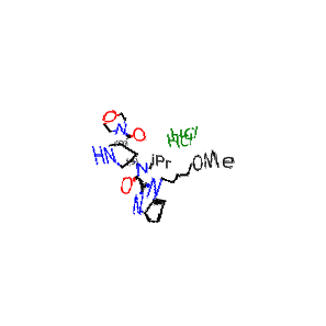 COCCCCCn1c(C(=O)N(CC(C)C)[C@@H]2CNC[C@H](C(=O)N3CCOCC3)C2)nc2ccccc21.Cl.Cl